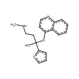 CNCCC(O)(Oc1ccnc2ccccc12)c1cccs1